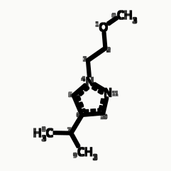 COCCn1cc(C(C)C)cn1